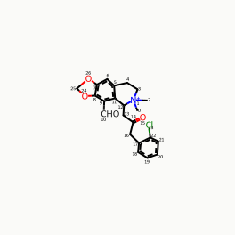 C[N+]1(C)CCc2cc3c(c(C=O)c2C1CC(=O)Cc1ccccc1Cl)OCO3